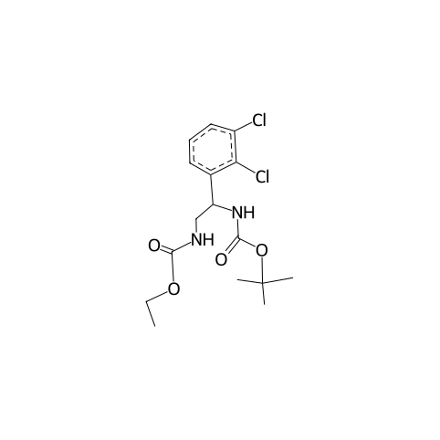 CCOC(=O)NCC(NC(=O)OC(C)(C)C)c1cccc(Cl)c1Cl